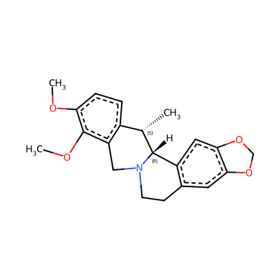 COc1ccc2c(c1OC)CN1CCc3cc4c(cc3[C@H]1[C@H]2C)OCO4